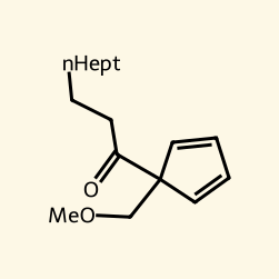 CCCCCCCCCC(=O)C1(COC)C=CC=C1